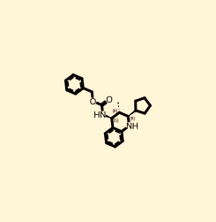 C[C@H]1[C@H](NC(=O)OCc2ccccc2)c2ccccc2N[C@@H]1C1CCCC1